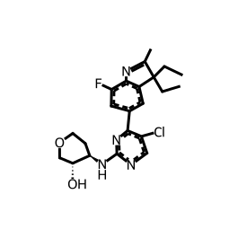 CCC1(CC)C(C)=Nc2c(F)cc(-c3nc(N[C@@H]4CCOC[C@H]4O)ncc3Cl)cc21